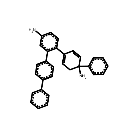 Nc1ccc(C2=CCC(N)(c3ccccc3)C=C2)c(-c2ccc(-c3ccccc3)cc2)c1